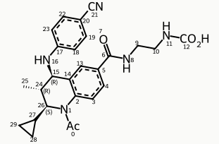 CC(=O)N1c2ccc(C(=O)NCCNC(=O)O)cc2[C@H](Nc2ccc(C#N)cc2)[C@@H](C)[C@@H]1C1CC1